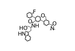 CN(C)C(=O)c1ccc2c(c1)COc1cc(-c3ccccc3F)c(C(=O)NC(CO)Cc3c[nH]c4ccccc34)cc1-2